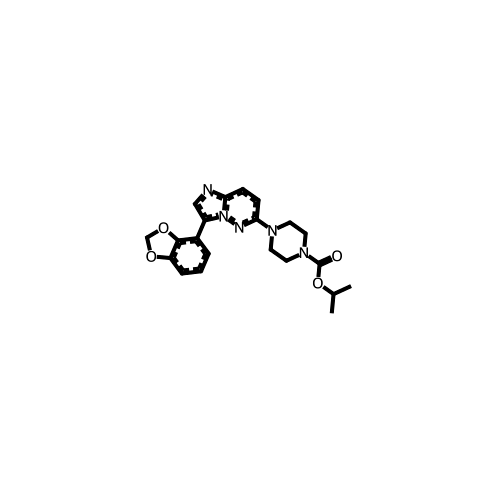 CC(C)OC(=O)N1CCN(c2ccc3ncc(-c4cccc5c4OCO5)n3n2)CC1